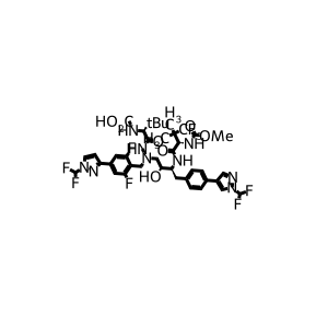 COC(=O)N[C@H](C(=O)N[C@@H](Cc1ccc(-c2cnn(C(F)F)c2)cc1)[C@@H](O)CN(Cc1c(F)cc(-c2ccn(C(F)F)n2)cc1F)NC(=O)[C@@H](NC(=O)O)C(C)(C)C)C(C)(C)C(F)(F)F